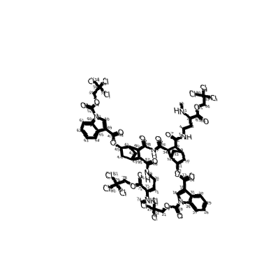 CNC(CCNC(=O)C1C2CC(OC(=O)c3cn(C(=O)OCC(Cl)(Cl)Cl)c4ccccc34)C(C2)C1C(=O)NC(=O)C1C2CC(CC2OC(=O)c2cn(C(=O)OCC(Cl)(Cl)Cl)c3ccccc23)C1C(=O)NCCC(NC)C(=O)OCC(Cl)(Cl)Cl)C(=O)OCC(Cl)(Cl)Cl